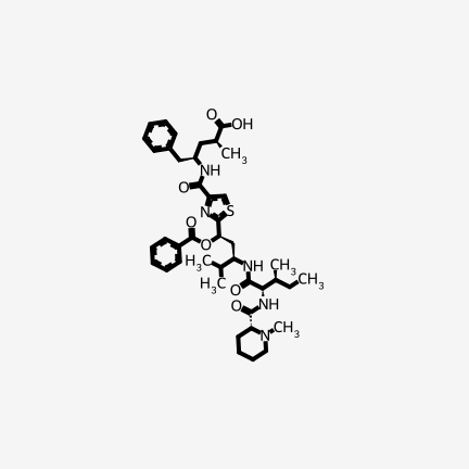 CC[C@H](C)[C@H](NC(=O)[C@H]1CCCCN1C)C(=O)N[C@H](C[C@@H](OC(=O)c1ccccc1)c1nc(C(=O)N[C@@H](Cc2ccccc2)C[C@H](C)C(=O)O)cs1)C(C)C